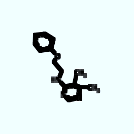 Cc1ncnc(NCCOc2ccccc2)c1C